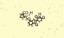 O=C1CCC(N2Cc3c(OCCN4CCC[C@@H]4C(=O)O)cccc3C2=O)C(=O)N1